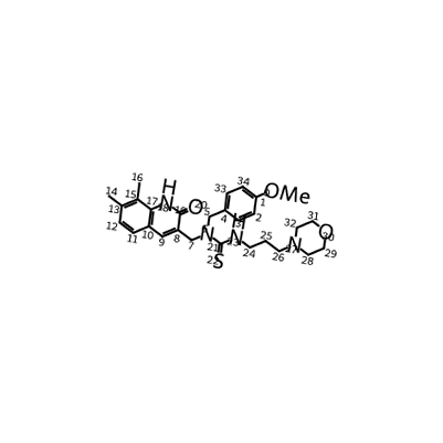 COc1ccc(CN(Cc2cc3ccc(C)c(C)c3[nH]c2=O)C(=S)NCCCN2CCOCC2)cc1